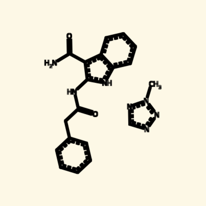 Cn1ncnn1.NC(=O)c1c(NC(=O)Cc2ccccc2)[nH]c2ccccc12